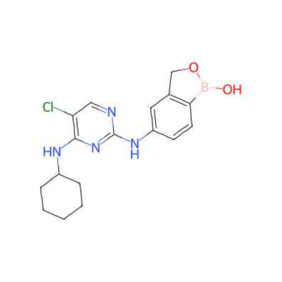 OB1OCc2cc(Nc3ncc(Cl)c(NC4CCCCC4)n3)ccc21